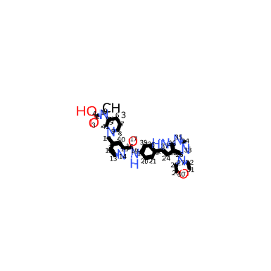 CN(C(=O)O)[C@@H]1CCCN(Cc2ccnc(C(=O)Nc3ccc(-c4cc5c(N6CCOCC6)ncnc5[nH]4)cc3)c2)C1